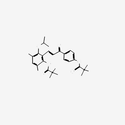 Cc1cc(C)c(OC(C)C)c(C=CC(=O)c2ccc(OC(=O)C(C)(C)C)cc2)c1OC(=O)C(C)(C)C